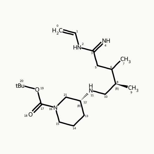 C=CNC(=N)CC(C)[C@@H](C)CN[C@@H]1CCCN(C(=O)OC(C)(C)C)C1